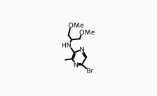 COCC(COC)Nc1ncc(Br)nc1C